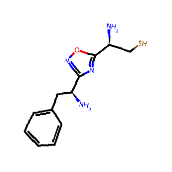 N[C@@H](Cc1ccccc1)c1noc([C@@H](N)CS)n1